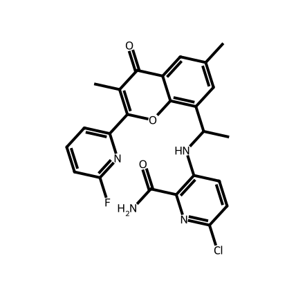 Cc1cc(C(C)Nc2ccc(Cl)nc2C(N)=O)c2oc(-c3cccc(F)n3)c(C)c(=O)c2c1